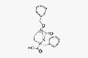 O=C1N(OCc2ccccc2)C2CC[C@](Cc3ccccc3)(C(=O)O)N1C2